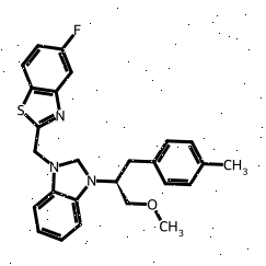 COC[C@H](Cc1ccc(C)cc1)N1CN(Cc2nc3cc(F)ccc3s2)c2ccccc21